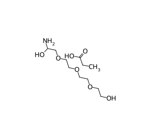 CCC(=O)O.NC(O)COCCOCCOCCO